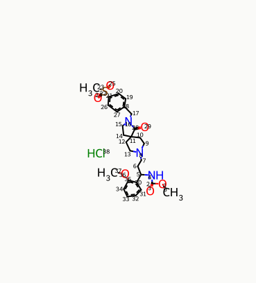 COC(=O)NC(CCN1CCC2(CC1)CCN(Cc1ccc(S(C)(=O)=O)cc1)C2=O)c1ccccc1OC.Cl